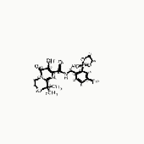 CC1(C)OCCn2c1nc(C(=O)NCc1ccc(F)cc1[PH]1(O)OCCO1)c(O)c2=O